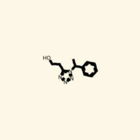 CC(c1ccccc1)n1nnnc1CCO